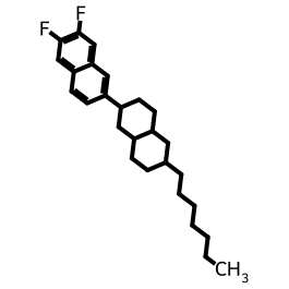 CCCCCCCC1CCC2CC(c3ccc4cc(F)c(F)cc4c3)CCC2C1